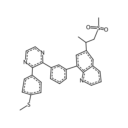 CSc1ccc(-c2nccnc2-c2cccc(-c3cc(C(C)CS(C)(=O)=O)cc4cccnc34)c2)cc1